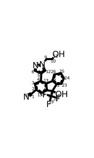 N#Cc1cc(-c2cnn(CCO)c2)c2c(c1)C(O)(C(F)(F)F)c1ccccc1-2